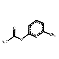 CC(=O)Oc1cccc(C)n1